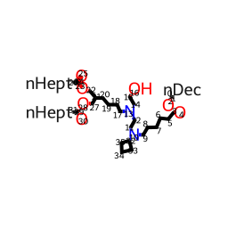 CCCCCCCCCCCOC(=O)CCCCCN(CCN(CCO)CCCCC(COC(=O)CCCCCCC)COC(=O)CCCCCCC)C1CCC1